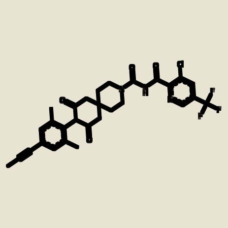 CC#Cc1cc(C)c(C2C(=O)CC3(CCN(C(=O)NC(=O)c4ncc(C(F)(F)F)cc4Cl)CC3)CC2=O)c(C)c1